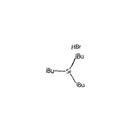 Br.CCC(C)[Si](C(C)CC)C(C)CC